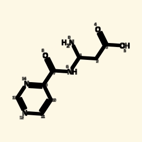 NC(CC(=O)O)NC(=O)c1ccncn1